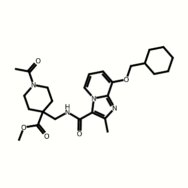 COC(=O)C1(CNC(=O)c2c(C)nc3c(OCC4CCCCC4)cccn23)CCN(C(C)=O)CC1